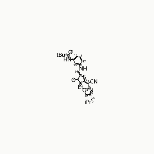 CCn1c(=C(C#N)C2=N[C@H](CC(C)C)CO2)sc(=CNc2cccc(NC(=O)C(C)(C)C)c2)c1=O